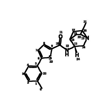 Cc1cccc(-c2ccc(C(=O)N[C@H]3CN4CCC3CC4C)s2)c1